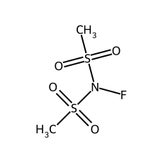 CS(=O)(=O)N(F)S(C)(=O)=O